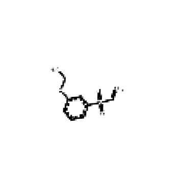 C=CS(=O)(=O)c1cccc(OCC)c1